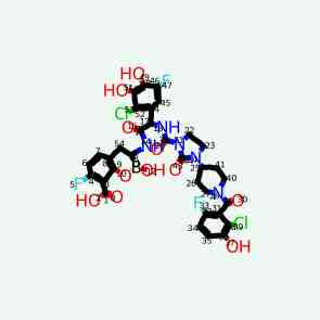 O=C(O)c1c(F)ccc2c1OB(O)C(NC(=O)C(NC(=O)N1CCN(C3CCN(C(=O)c4c(F)ccc(O)c4Cl)CC3)C1=O)c1cc(F)c(O)c(O)c1Cl)C2